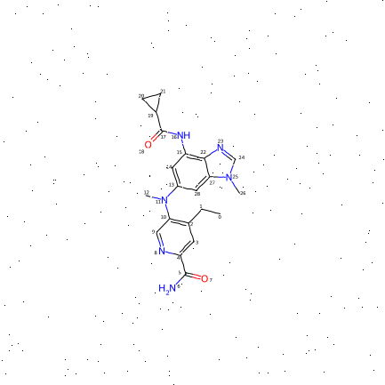 CCc1cc(C(N)=O)ncc1N(C)c1cc(NC(=O)C2CC2)c2ncn(C)c2c1